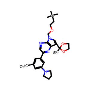 CC(C)(C)C1(c2cn(COCC[Si](C)(C)C)c3ncc(-c4cc(C=O)cc(N5CCCC5)c4)nc23)OCCO1